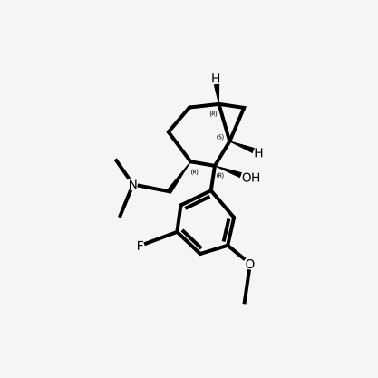 COc1cc(F)cc([C@]2(O)[C@@H](CN(C)C)CC[C@@H]3C[C@@H]32)c1